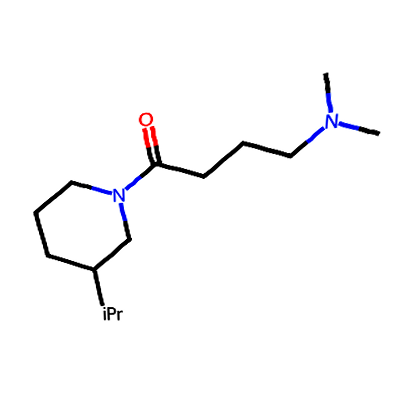 CC(C)C1CCCN(C(=O)CCCN(C)C)C1